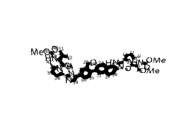 COC[C@H](NC(=O)OC)C(=O)N1[C@@H](C)CC[C@H]1c1nc2ccc3cc4c(cc3c2[nH]1)OCc1cc(-c2cnc([C@@H]3CC[C@H](I)N3C(=O)[C@@H](NC(=O)OC)C(C)I)[nH]2)ccc1-4